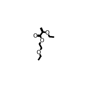 C=C(OCC)C(=O)OCCOCC